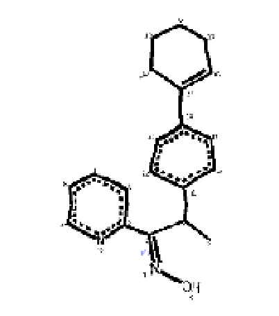 CC(/C(=N\O)c1ccccn1)c1ccc(C2=CCCCC2)cc1